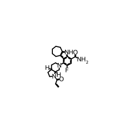 C=CC(=O)N1CC[C@@H]2CCN(c3c(F)cc(C(N)=O)c4[nH]c5c(c34)CCCCC5)C[C@@H]21